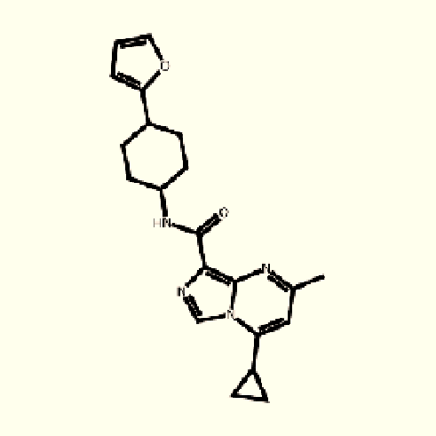 Cc1cc(C2CC2)n2cnc(C(=O)NC3CCC(c4ccco4)CC3)c2n1